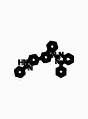 C1=CC2N=C(n3c4ccccc4c4cc(-c5ccc6[nH]c(-c7ccccc7)nc6c5)ccc43)N=C(c3ccccc3)C2C=C1